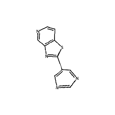 c1cc2sc(-c3cncnc3)nc2cn1